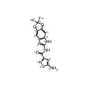 Nc1nc(C(=O)Nc2nc3cc4c(cc3[nH]2)OC(F)(F)O4)ns1